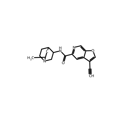 C#Cc1coc2cnc(C(=O)NC3CN4CCC3CC4C)cc12